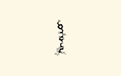 CC(C)(C)c1cnc(CSc2cnc(NC(=O)Cc3ccc(CBr)cc3)s2)o1